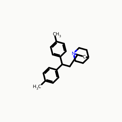 Cc1ccc(C(CC2CC3CCN2CC3)c2ccc(C)cc2)cc1